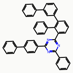 c1ccc(-c2ccc(-c3nc(-c4ccccc4)nc(-c4cccc(-c5cccc(-c6ccccc6)c5)c4-c4ccccc4)n3)cc2)cc1